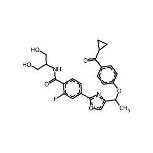 CC(Oc1ccc(C(=O)C2CC2)cc1)c1coc(-c2ccc(C(=O)NC(CO)CO)c(F)c2)n1